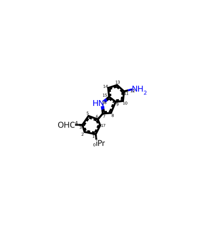 CC(C)c1cc(C=O)cc(-c2cc3cc(N)ccc3[nH]2)c1